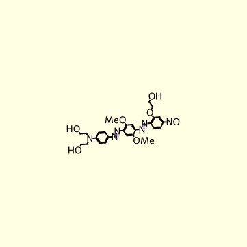 COc1cc(/N=N/c2ccc(N=O)cc2OCCO)c(OC)cc1/N=N/c1ccc(N(CCO)CCO)cc1